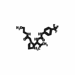 CCCNC(=O)Cn1ccnc1C(NC(=O)Nc1ccc(C(F)(F)F)cc1)C(C)C